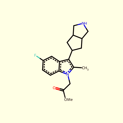 COC(=O)Cn1c(C)c(C2CC3CNCC3C2)c2cc(F)ccc21